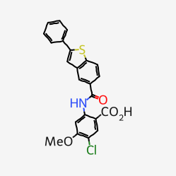 COc1cc(NC(=O)c2ccc3sc(-c4ccccc4)cc3c2)c(C(=O)O)cc1Cl